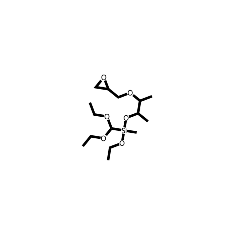 CCOC(OCC)[Si](C)(OCC)OC(C)C(C)OCC1CO1